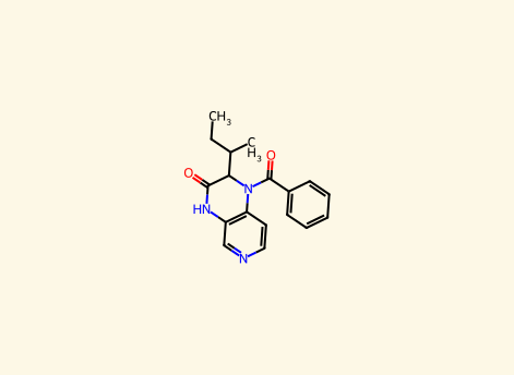 CCC(C)C1C(=O)Nc2cnccc2N1C(=O)c1ccccc1